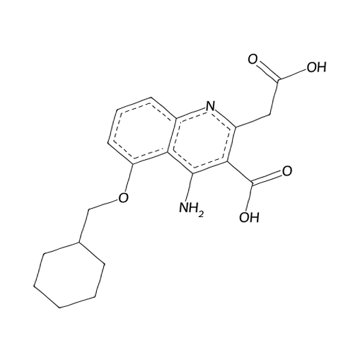 Nc1c(C(=O)O)c(CC(=O)O)nc2cccc(OCC3CCCCC3)c12